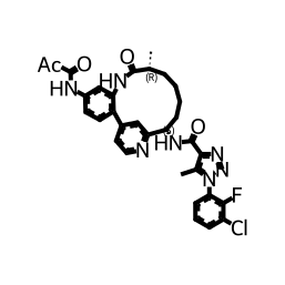 CC(=O)C(=O)Nc1ccc2c(c1)NC(=O)[C@H](C)CCCC[C@H](NC(=O)c1nnn(-c3cccc(Cl)c3F)c1C)c1cc-2ccn1